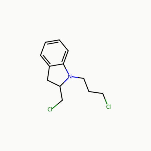 ClCCCN1c2ccccc2CC1CCl